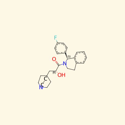 O=C([C@H](O)CC12CCN(CC1)CC2)N1CCc2ccccc2[C@@H]1c1ccc(F)cc1